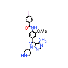 COc1cc(-c2nn(C3CCNCC3)c3ncnc(N)c23)ccc1NC(=O)c1ccc(I)cc1